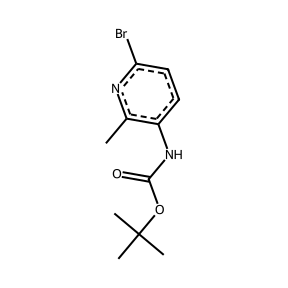 Cc1nc(Br)ccc1NC(=O)OC(C)(C)C